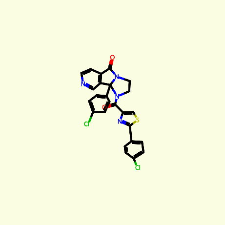 O=C(c1csc(-c2ccc(Cl)cc2)n1)N1CCN2C(=O)c3ccncc3C12c1ccc(Cl)cc1